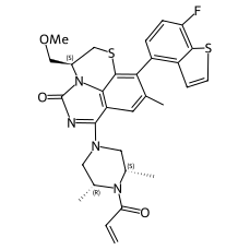 C=CC(=O)N1[C@H](C)CN(c2nc(=O)n3c4c(c(-c5ccc(F)c6sccc56)c(C)cc24)SC[C@@H]3COC)C[C@@H]1C